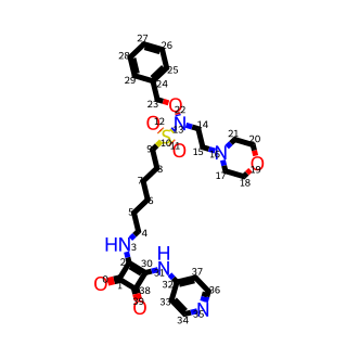 O=c1c(NCCCCCCS(=O)(=O)N(CCN2CCOCC2)OCc2ccccc2)c(Nc2ccncc2)c1=O